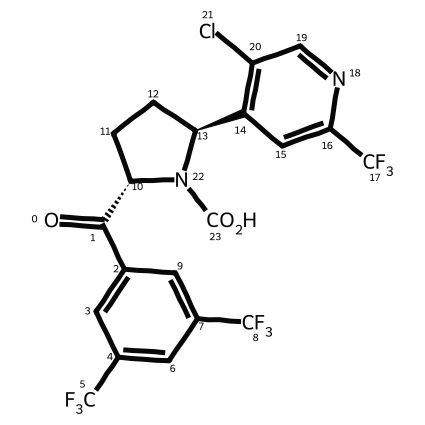 O=C(c1cc(C(F)(F)F)cc(C(F)(F)F)c1)[C@@H]1CC[C@@H](c2cc(C(F)(F)F)ncc2Cl)N1C(=O)O